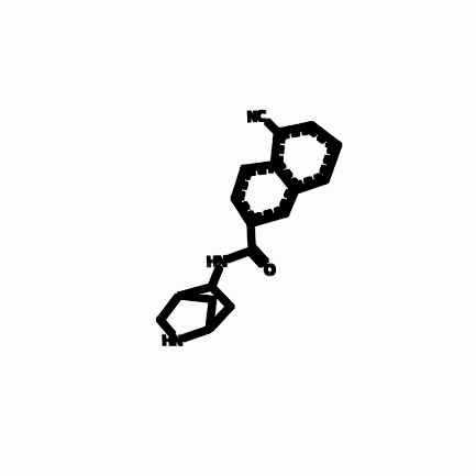 N#Cc1cccc2cc(C(=O)NC3CC4CC3CN4)ccc12